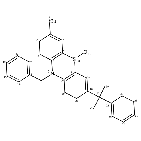 CC(C)(C)C1=CC2=C(CC1)N(Cc1ccccc1)C1=C(C=C(C(C)(C)C3=CC=CCC3)CC1)[S+]2[O-]